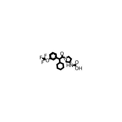 O=C(O)N[C@H]1CCN(C(=O)C(c2cccc(OC(F)(F)F)c2)C2CCCCC2)C1